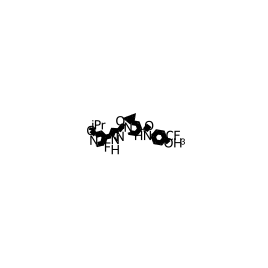 CC(C)Oc1cc(-c2cc(C(=O)N3CC[C@@H](C(=O)NC4CCC(O)(C(F)(F)F)CC4)CC34CC4)n[nH]2)c(F)cn1